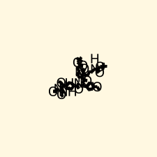 CONC(=NC=O)N(OC)c1ccc(C(=O)NC(Cc2ccc(OC)cc2)C(=O)N2CCN(CC(=O)OC(C)(C)C)C(=O)C2CCCNC(=O)OC(C)(C)C)cc1